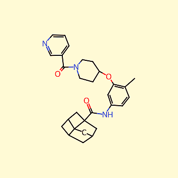 Cc1ccc(NC(=O)C23CC4CC5CC(C2)C53C4)cc1OC1CCN(C(=O)c2cccnc2)CC1